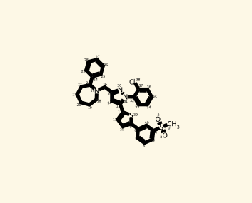 CS(=O)(=O)c1cccc(-c2ccc(-c3cc(CN4CCCCCC4c4ccccc4)nn3-c3ccccc3Cl)s2)c1